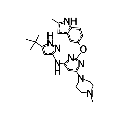 Cc1cc2cc(Oc3nc(Nc4cc(C(C)(C)C)[nH]n4)cc(N4CCN(C)CC4)n3)ccc2[nH]1